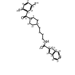 O=C(NCCCCC1CCN(C(=O)c2cc(F)ccc2F)CC1)c1cc2ccncc2s1